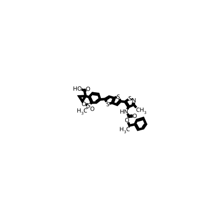 Cc1nsc(-c2cc3sc(-c4ccc(C5(C(=O)O)CC5)c(S(C)(=O)=O)c4)cc3s2)c1NC(=O)O[C@H](C)c1ccccc1